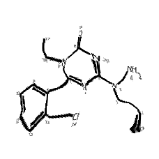 C=CCN(N)c1nc(-c2ccccc2Cl)n(CC)c(=O)n1